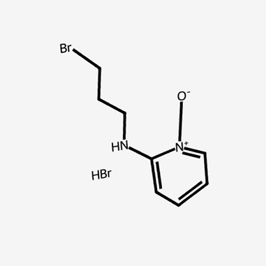 Br.[O-][n+]1ccccc1NCCCBr